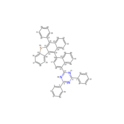 c1ccc(-c2nc(-c3ccccc3)nc(-c3ccc(-c4c5ccccc5c(-c5ccccc5)c5sc6ccccc6c45)c4ccccc34)n2)cc1